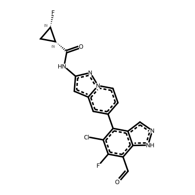 O=Cc1c(F)c(Cl)c(-c2ccn3nc(NC(=O)[C@@H]4C[C@@H]4F)cc3c2)c2cn[nH]c12